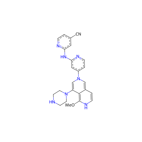 COC1=C2C(=CN(c3ccnc(Nc4cc(C#N)ccn4)c3)C=C2N2CCNCC2)C=CN1